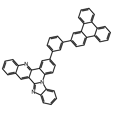 c1cc(-c2ccc3c4ccccc4c4ccccc4c3c2)cc(-c2ccc3c(c2)c2nc4ccccc4cc2c2nc4ccccc4n32)c1